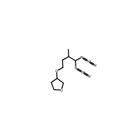 CC(CCOC1CCOC1)C(N=[N+]=[N-])N=[N+]=[N-]